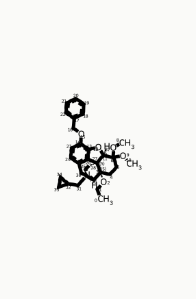 CCO[C@@]12CCC(OC)(OC)[C@@H]3Oc4c(OCc5ccccc5)ccc5c4[C@@]31CCN(CC1CC1)[C@@H]2C5